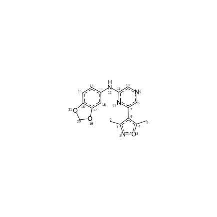 Cc1noc(C)c1-c1cncc(Nc2ccc3c(c2)OCO3)n1